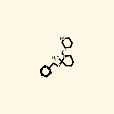 CC1(OCc2ccccc2)CCCCN1C[C@H]1CCCNC1